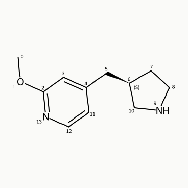 COc1cc(C[C@H]2CCNC2)ccn1